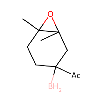 BC1(C(C)=O)CCC2(C)OC2(C)C1